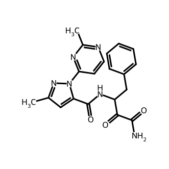 Cc1cc(C(=O)NC(Cc2ccccc2)C(=O)C(N)=O)n(-c2ccnc(C)n2)n1